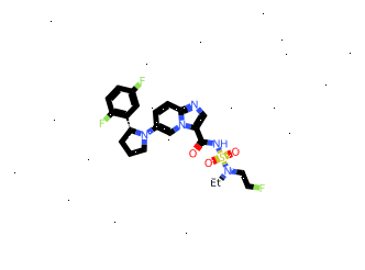 CCN(CCF)S(=O)(=O)NC(=O)c1cnc2ccc(N3CCC[C@@H]3c3cc(F)ccc3F)cn12